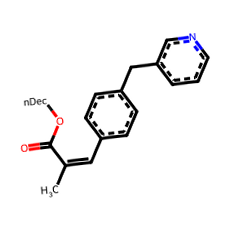 CCCCCCCCCCOC(=O)C(C)=Cc1ccc(Cc2cccnc2)cc1